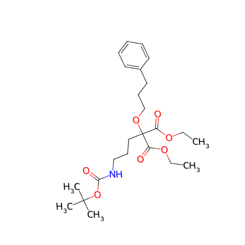 CCOC(=O)C(CCCNC(=O)OC(C)(C)C)(OCCCc1ccccc1)C(=O)OCC